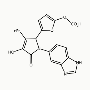 CCCC1=C(O)C(=O)N(c2ccc3[nH]cnc3c2)C1c1ccc(OC(=O)O)o1